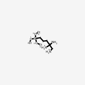 CCO[Si](CCCC(N)(N)CN)(OCC)OCC